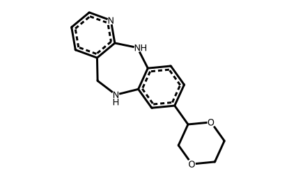 c1cnc2c(c1)CNc1cc(C3COCCO3)ccc1N2